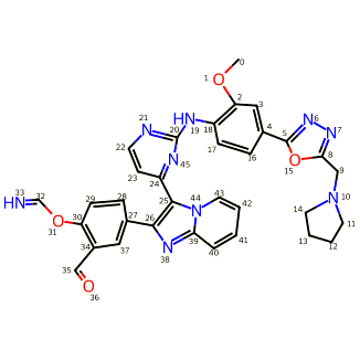 COc1cc(-c2nnc(CN3CCCC3)o2)ccc1Nc1nccc(-c2c(-c3ccc(OC=N)c(C=O)c3)nc3ccccn23)n1